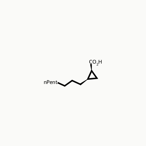 CCCCCCCC[C@@H]1C[C@@H]1C(=O)O